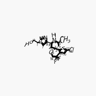 C[C@H]1C[C@@]2(C[C@@H](c3cn(CCO)nn3)N1)OCC(F)(F)c1cc(Cl)sc12